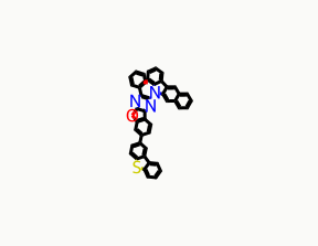 c1ccc(-c2nc3oc4cc(-c5ccc6sc7ccccc7c6c5)ccc4c3nc2-n2c3ccccc3c3cc4ccccc4cc32)cc1